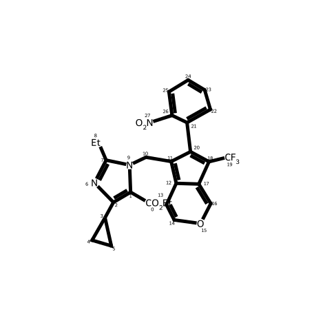 CCOC(=O)c1c(C2CC2)nc(CC)n1Cc1c2ccocc-2c(C(F)(F)F)c1-c1ccccc1[N+](=O)[O-]